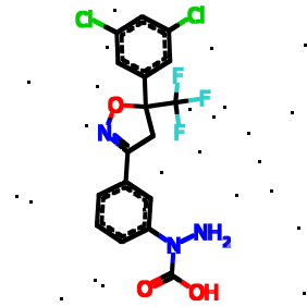 NN(C(=O)O)c1cccc(C2=NOC(c3cc(Cl)cc(Cl)c3)(C(F)(F)F)C2)c1